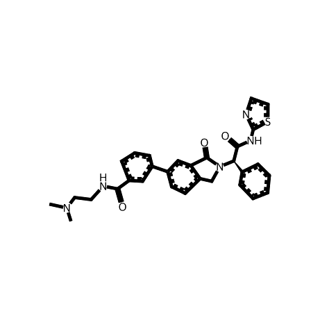 CN(C)CCNC(=O)c1cccc(-c2ccc3c(c2)C(=O)N([C@@H](C(=O)Nc2nccs2)c2ccccc2)C3)c1